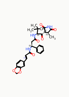 C[C@@H]1C(=O)NC(=O)[C@H]1C(=O)[C@@H](NC(=O)C[C@H](NC(=O)/C=C/c1ccc2c(c1)OCO2)c1ccccc1)C(C)(C)C